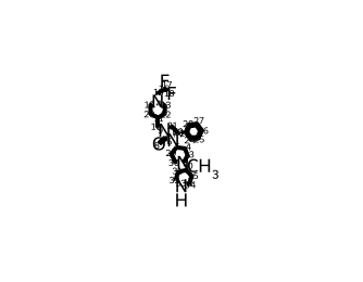 CC1(N2CCC(N3C(=O)N(CC4CCN(CC(F)F)CC4)C[C@H]3c3ccccc3)CC2)CCNCC1